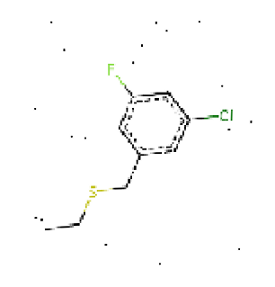 CCSCc1cc(F)cc(Cl)c1